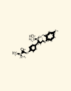 CN(C)C(=O)Oc1ccc(C(CCOc2ccc(F)cc2F)N(C)C)cc1.Cl